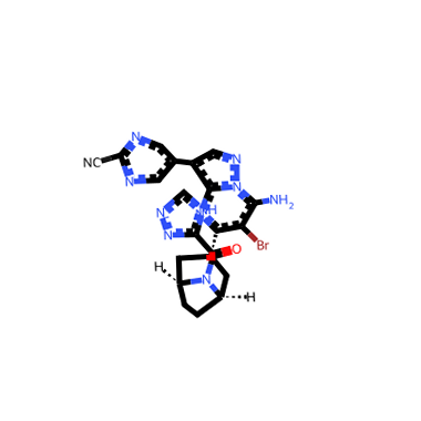 N#Cc1ncc(-c2cnn3c(N)c(Br)c([C@@H]4C[C@H]5CC[C@@H](C4)N5C(=O)c4nnc[nH]4)nc23)cn1